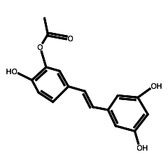 CC(=O)Oc1cc(C=Cc2cc(O)cc(O)c2)ccc1O